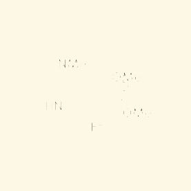 CC[C@@H]1CNC(C(C)NC)C[C@@H]1C(C)(COC)C(=O)OC